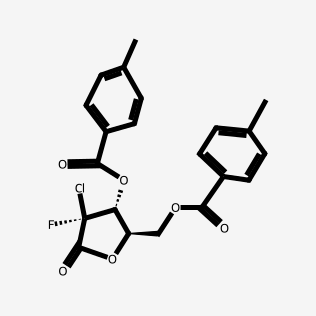 Cc1ccc(C(=O)OC[C@H]2OC(=O)[C@@](F)(Cl)[C@@H]2OC(=O)c2ccc(C)cc2)cc1